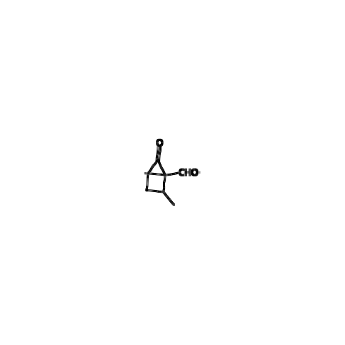 CC1C[C]2C(=O)C21[C]=O